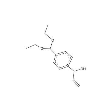 C=CC(O)c1ccc(C(OCC)OCC)cc1